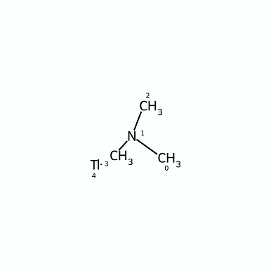 CN(C)C.[Tl]